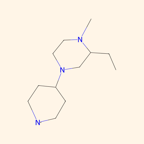 CCC1CN(C2CC[N]CC2)CCN1C